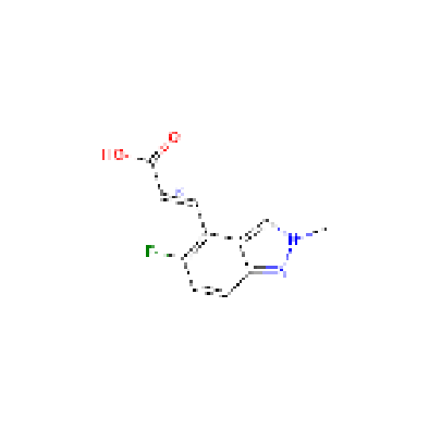 Cn1cc2c(/C=C/C(=O)O)c(F)ccc2n1